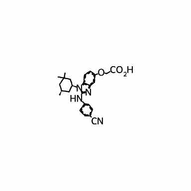 C[C@@H]1C[C@H](n2c(Nc3ccc(C#N)cc3)nc3cc(OCC(=O)O)ccc32)CC(C)(C)C1